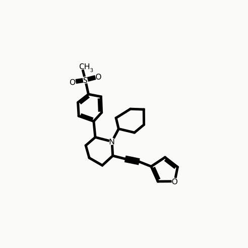 CS(=O)(=O)c1ccc(C2CCCC(C#Cc3ccoc3)N2C2CCCCC2)cc1